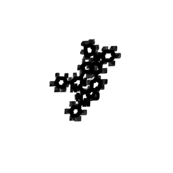 c1ccc(-c2cc(-c3ccccc3)nc(-c3nc(-c4ccccc4)nc4oc5ccc(-c6ccc7c(c6)c6ccccc6n7-c6ccccc6)cc5c34)n2)cc1